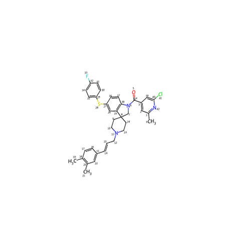 Cc1cc(C(=O)N2CC3(CCN(CC=Cc4ccc(C)c(C)c4)CC3)c3cc(Sc4ccc(F)cc4)ccc32)cc(Cl)n1